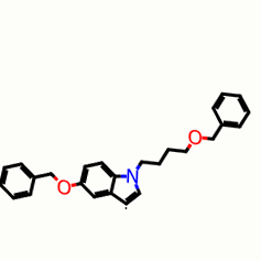 [c]1cn(CCCCOCc2ccccc2)c2ccc(OCc3ccccc3)cc12